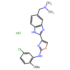 CC(C)COc1ccc(Cl)cc1Nc1nc(-c2nc3cc(CN(C)C)ccc3[nH]2)cs1.Cl